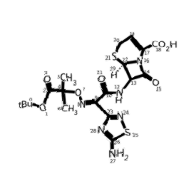 CC(C)(C)OC(=O)C(C)(C)O/N=C(\C(=O)NC1C(=O)N2C(C(=O)O)=CCS[C@H]12)c1nsc(N)n1